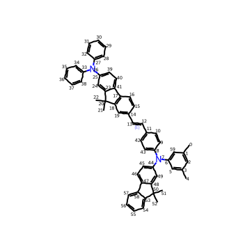 Cc1cc(C)cc(N(c2ccc(/C=C/c3ccc4c(c3)C(C)(C)c3cc(N(c5ccccc5)c5ccccc5)ccc3-4)cc2)c2ccc3c(c2)C(C)(C)c2ccccc2-3)c1